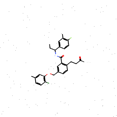 COC(=O)CCc1ccc(COc2cc(C)ccc2Cl)cc1C(=O)NC(CC(C)C)c1ccc(F)c(C)c1